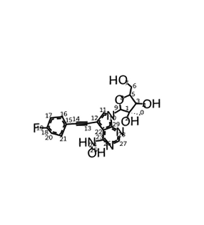 C[C@@]1(O)C(O)C(CO)OC1n1cc(C#Cc2ccc(F)cc2)c2c(NO)ncnc21